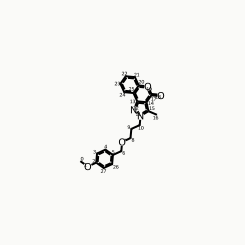 COc1ccc(COCCCn2nc3c(c2C)c(=O)oc2ccccc23)cc1